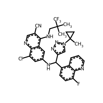 CC1(n2cc(C(Nc3cc(Cl)c4ncc(C#N)c(NCC(C)(C)C(F)(F)F)c4c3)c3ccc(F)c4ncccc34)nn2)CC1